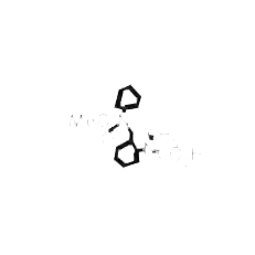 COC(=O)N(Cc1ccccc1N(C)C(=O)O)c1ccccc1